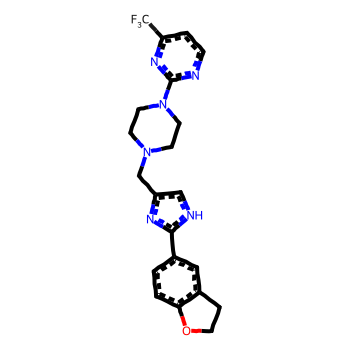 FC(F)(F)c1ccnc(N2CCN(Cc3c[nH]c(-c4ccc5c(c4)CCO5)n3)CC2)n1